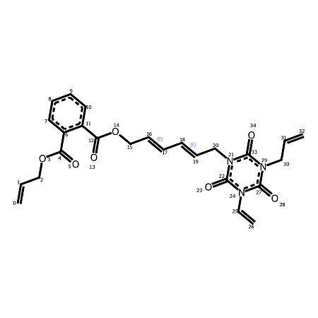 C=CCOC(=O)c1ccccc1C(=O)OC/C=C/C=C/Cn1c(=O)n(C=C)c(=O)n(CC=C)c1=O